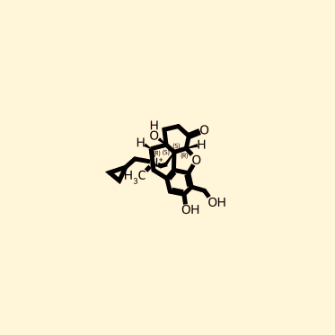 C[N+]1(CC2CC2)CC[C@]23c4c5cc(O)c(CO)c4O[C@H]2C(=O)CC[C@@]3(O)[C@H]1C5